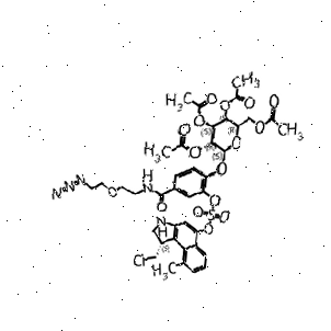 CC(=O)OC[C@H]1O[C@@H](Oc2ccc(C(=O)NCCOCCN=[N+]=[N-])cc2OS(=O)(=O)Oc2cc3c(c4c(C)cccc24)[C@H](CCl)CN3)[C@H](OC(C)=O)[C@@H](OC(C)=O)[C@H]1OC(C)=O